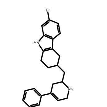 Brc1ccc2c3c([nH]c2c1)CCC(CC1CC(c2ccccc2)=CCN1)C3